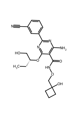 CC[C@H](CO)Oc1nc(-c2cccc(C#N)c2)nc(N)c1C(=O)NOCC1(O)CCC1